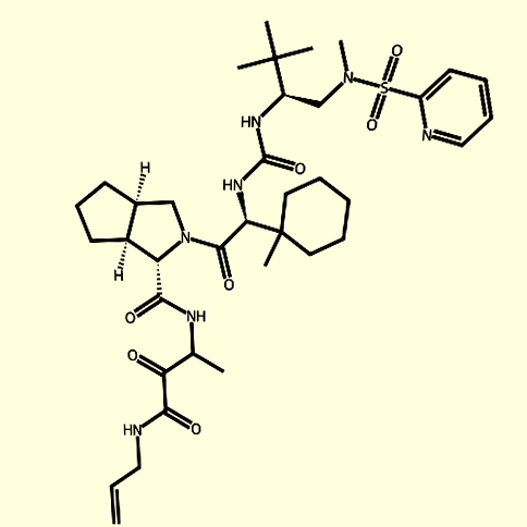 C=CCNC(=O)C(=O)C(C)NC(=O)[C@@H]1[C@H]2CCC[C@H]2CN1C(=O)[C@@H](NC(=O)N[C@H](CN(C)S(=O)(=O)c1ccccn1)C(C)(C)C)C1(C)CCCCC1